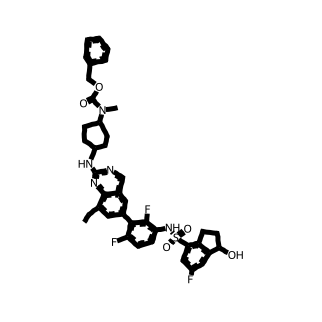 CCc1cc(-c2c(F)ccc(NS(=O)(=O)c3cc(F)cc4c3CCC4O)c2F)cc2cnc(NC3CCC(N(C)C(=O)OCc4ccccc4)CC3)nc12